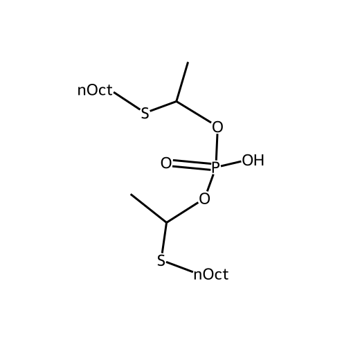 CCCCCCCCSC(C)OP(=O)(O)OC(C)SCCCCCCCC